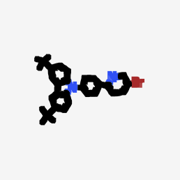 CC(C)(C)c1ccc2c(c1)c1cc(C(C)(C)C)ccc1n2-c1ccc(-c2ccc(Br)cn2)cc1